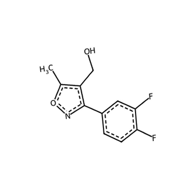 Cc1onc(-c2ccc(F)c(F)c2)c1CO